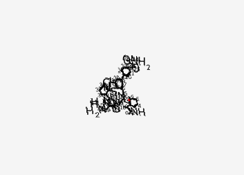 Cc1[nH]c2ccccc2c1C[C@@H](C(=O)NCc1cc(-c2ccc(S(N)(=O)=O)cc2)cc(Cl)c1Sc1ncccc1CN)N(C)C(=O)[C@@H](N)CN